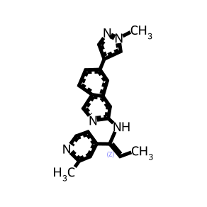 C/C=C(\Nc1cc2cc(-c3cnn(C)c3)ccc2cn1)c1ccnc(C)c1